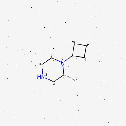 C[C@@H]1CNCCN1C1CCC1